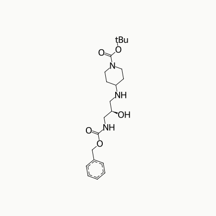 CC(C)(C)OC(=O)N1CCC(NC[C@@H](O)CNC(=O)OCc2ccccc2)CC1